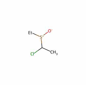 [CH2]C[S+]([O-])C(C)Cl